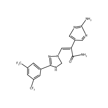 NC(=O)/C(=C\N1CNC(c2cc(C(F)(F)F)cc(C(F)(F)F)c2)=N1)c1cnc(N)nc1